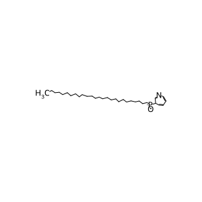 CCCCCCCCCCCCCCCCCCCCCCCCCC[P](=O)C1C=CC=CN=C1